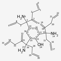 C=CCC(=C)C(N)(CC=C)c1cc(C(N)(CC=C)C(=C)CC=C)c(O)c(C(N)(CC=C)C(=C)CC=C)c1